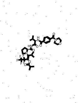 CC(C)C(=O)O/C(=C(\C(C)C)N1CCC[C@H]1C(=O)NC(=O)[C@@H](NC(=O)c1ccc(C(=O)N2CCOCC2)cc1)C(C)C)C(F)(F)C(F)(F)F